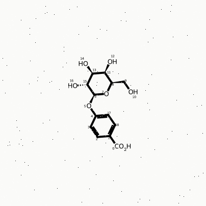 O=C(O)c1ccc(O[C@@H]2O[C@H](CO)[C@H](O)[C@H](O)[C@H]2O)cc1